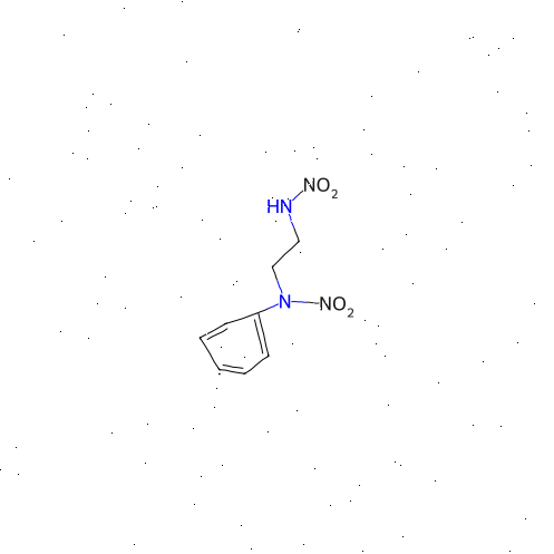 O=[N+]([O-])NCCN(c1cc[c]cc1)[N+](=O)[O-]